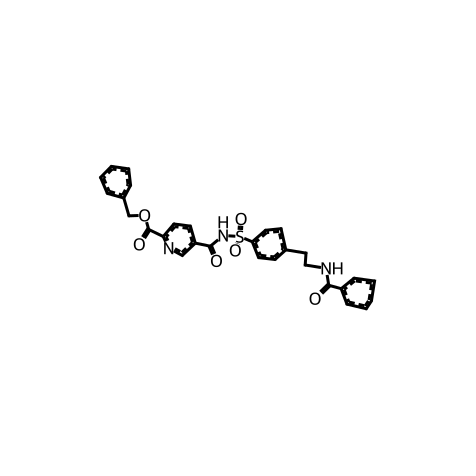 O=C(NCCc1ccc(S(=O)(=O)NC(=O)c2ccc(C(=O)OCc3ccccc3)nc2)cc1)c1ccccc1